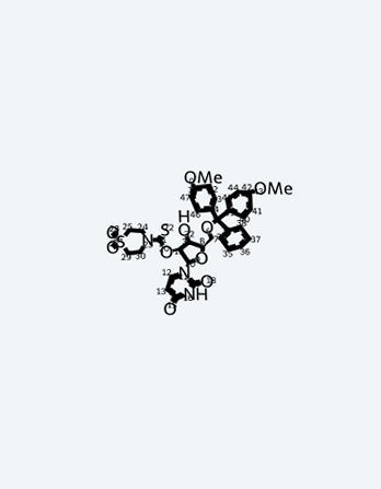 COc1ccc(C(OC[C@H]2O[C@@H](n3ccc(=O)[nH]c3=O)[C@@H](OC(=S)N3CCS(=O)(=O)CC3)C2O)(c2ccccc2)c2ccc(OC)cc2)cc1